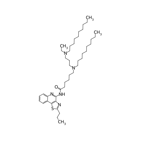 CCCCCCCCCCN(CC)CCCN(CCCCCCCCCC)CCCCCC(=O)Nc1nc2ccccc2c2sc(CCC)nc12